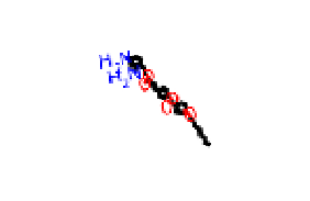 C=CCCCCCCOC1CCC(C(=O)Oc2ccc(/C=C/C(=O)OCCc3ccc(N)cc3N)cc2)CC1